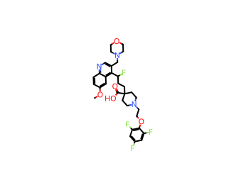 COc1ccc2ncc(CN3CCOCC3)c(C(F)CCC3(C(=O)O)CCN(CCOc4c(F)cc(F)cc4F)CC3)c2c1